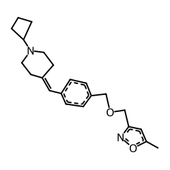 Cc1cc(COCc2ccc(C=C3CCN(C4CCC4)CC3)cc2)no1